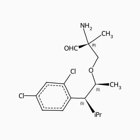 CC(C)[C@@H](c1ccc(Cl)cc1Cl)[C@H](C)OC[C@@](C)(N)C=O